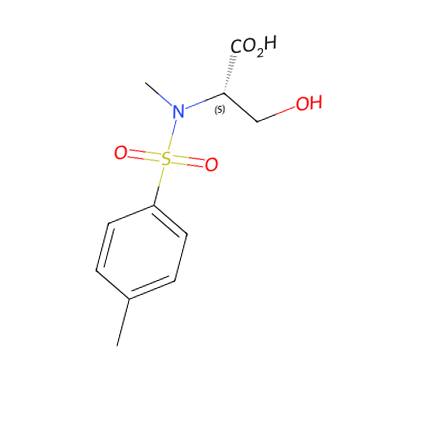 Cc1ccc(S(=O)(=O)N(C)[C@@H](CO)C(=O)O)cc1